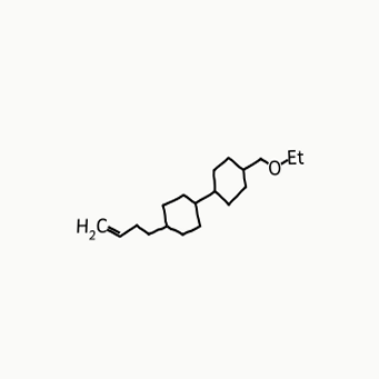 C=CCCC1CCC(C2CCC(COCC)CC2)CC1